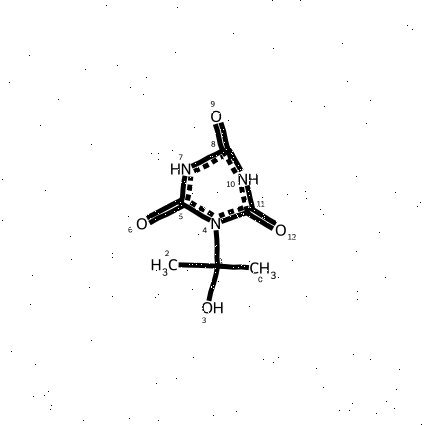 CC(C)(O)n1c(=O)[nH]c(=O)[nH]c1=O